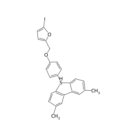 Cc1ccc2c(c1)-c1cc(C)ccc1[SH]2c1ccc(OCc2ccc(I)o2)cc1